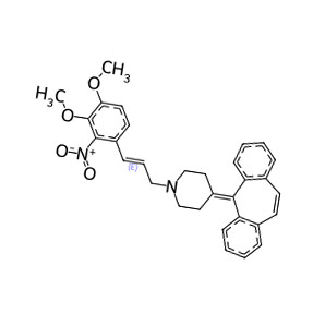 COc1ccc(/C=C/CN2CCC(=C3c4ccccc4C=Cc4ccccc43)CC2)c([N+](=O)[O-])c1OC